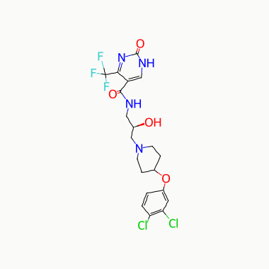 O=C(NC[C@@H](O)CN1CCC(Oc2ccc(Cl)c(Cl)c2)CC1)c1c[nH]c(=O)nc1C(F)(F)F